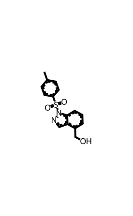 Cc1ccc(S(=O)(=O)n2ncc3c(CO)cccc32)cc1